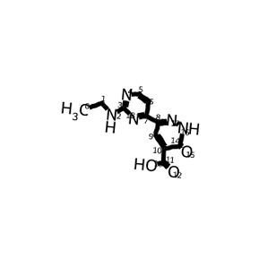 CCNc1nccc(-c2cc(C(=O)O)c(=O)[nH]n2)n1